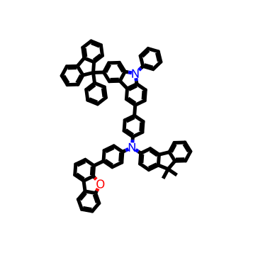 CC1(C)c2ccccc2-c2cc(N(c3ccc(-c4ccc5c(c4)c4cc(C6(c7ccccc7)c7ccccc7-c7ccccc76)ccc4n5-c4ccccc4)cc3)c3ccc(-c4cccc5c4oc4ccccc45)cc3)ccc21